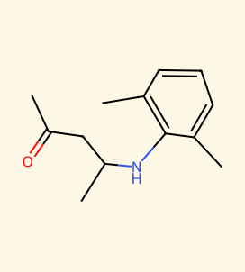 CC(=O)CC(C)Nc1c(C)cccc1C